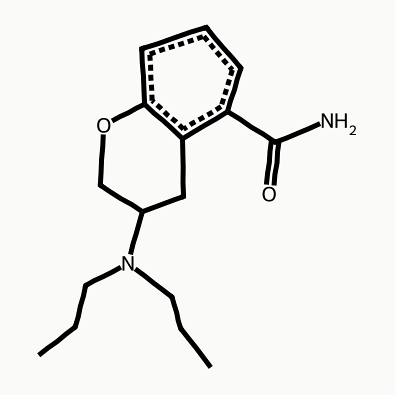 CCCN(CCC)C1COc2cccc(C(N)=O)c2C1